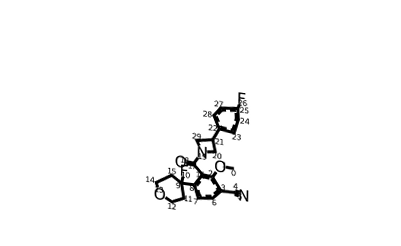 COc1c(C#N)ccc(C2(F)CCOCC2)c1C(=O)N1CC(c2ccc(F)cc2)C1